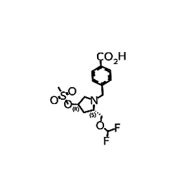 CS(=O)(=O)O[C@@H]1C[C@@H](COC(F)F)N(Cc2ccc(C(=O)O)cc2)C1